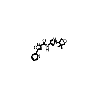 CC1(C)COCC1n1cc(NC(=O)c2cc(-c3ccccn3)on2)cn1